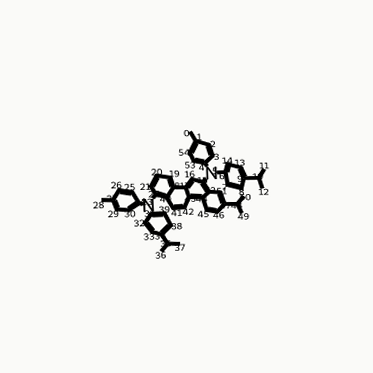 Cc1ccc(N(c2ccc(C(C)C)cc2)c2cc3c4cccc(N(c5ccc(C)cc5)c5ccc(C(C)C)cc5)c4ccc3c3ccc(C(C)C)cc23)cc1